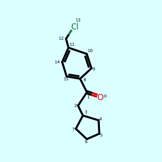 O=C(CC1CCCC1)c1ccc(CCl)cc1